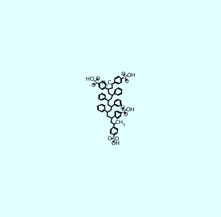 CC(CC(CC(CC(CC(CC(CC(CC(C)c1ccc(S(=O)(=O)O)cc1)c1ccc(S(=O)(=O)O)cc1)c1ccccc1)c1ccccc1)c1ccccc1)c1ccccc1)c1ccc(S(=O)(=O)O)cc1)c1ccc(S(=O)(=O)O)cc1